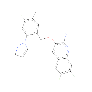 Nc1nc2cc(Cl)c(F)cc2cc1OCc1cc(C=O)c(F)cc1N1C=CCN1